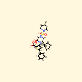 CC1CCN(S(=O)(=O)N2CC(=O)N(c3cc(-c4ccccc4)sc3C(=O)O)C(C3CCCCC3)C2)CC1